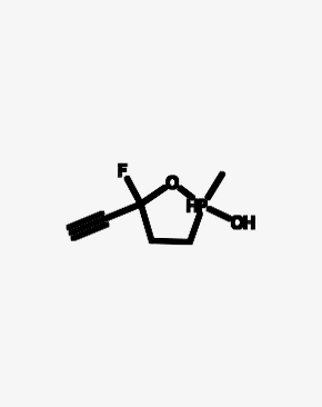 C#CC1(F)CC[PH](C)(O)O1